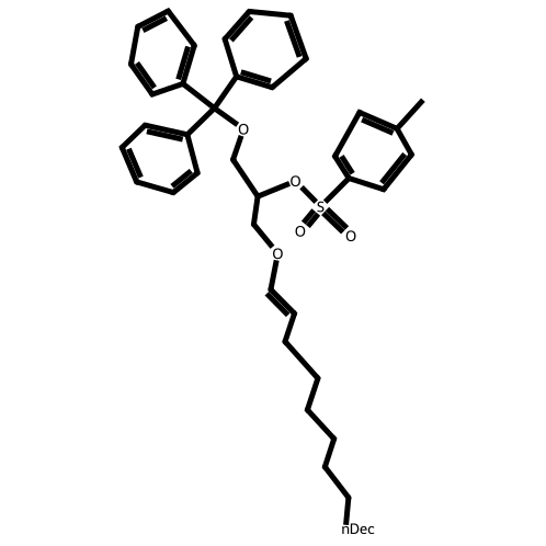 CCCCCCCCCCCCCCCCC=COCC(COC(c1ccccc1)(c1ccccc1)c1ccccc1)OS(=O)(=O)c1ccc(C)cc1